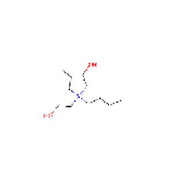 CCCC[N+](CCC)(CCO)CCO